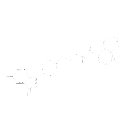 O=C(NCCCN1CCC(c2c[nH]c3cc(F)ccc23)CC1)c1ccnc2ccccc12